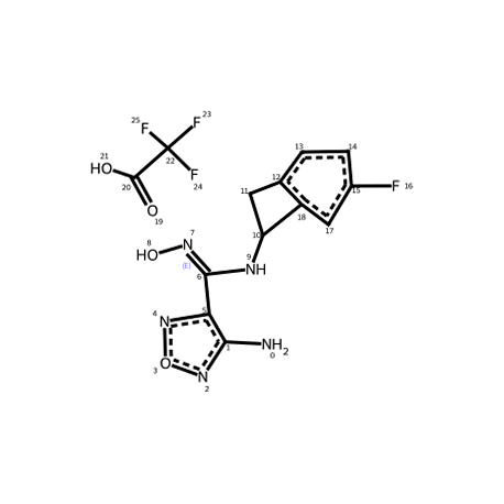 Nc1nonc1/C(=N\O)NC1Cc2ccc(F)cc21.O=C(O)C(F)(F)F